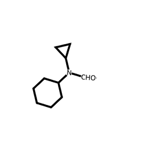 O=[C]N(C1CCCCC1)C1CC1